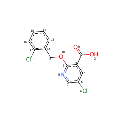 O=C(O)c1cc(Cl)cnc1OCc1ccccc1Cl